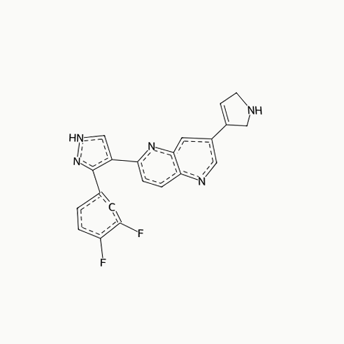 Fc1ccc(-c2n[nH]cc2-c2ccc3ncc(C4=CCNC4)cc3n2)cc1F